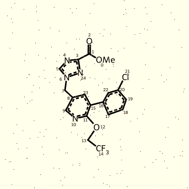 COC(=O)c1ncn(Cc2cnc(OCC(F)(F)F)c(-c3cccc(Cl)c3)c2)n1